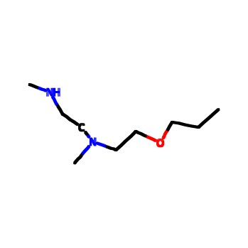 CCCOCCN(C)CCNC